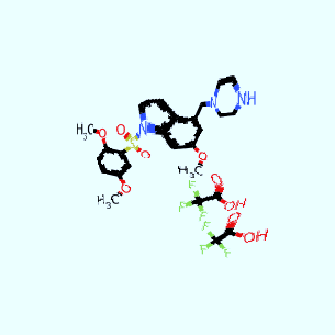 COc1ccc(OC)c(S(=O)(=O)n2ccc3c(CN4CCNCC4)cc(OC)cc32)c1.O=C(O)C(F)(F)F.O=C(O)C(F)(F)F